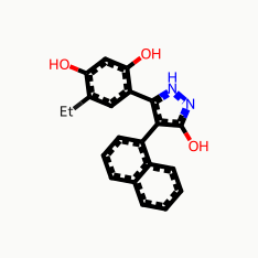 CCc1cc(-c2[nH]nc(O)c2-c2cccc3ccccc23)c(O)cc1O